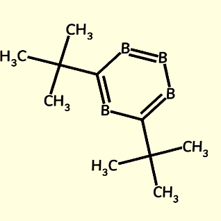 CC(C)(C)c1bbbc(C(C)(C)C)b1